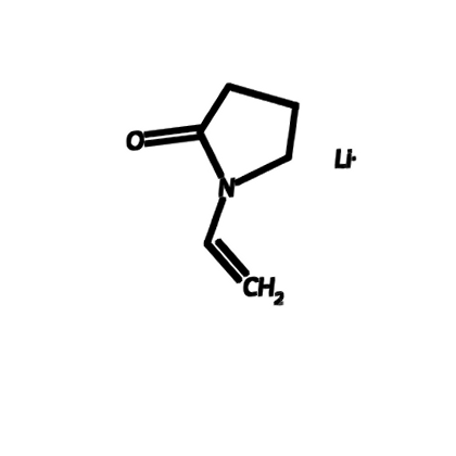 C=CN1CCCC1=O.[Li]